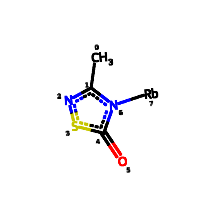 Cc1nsc(=O)[n]1[Rb]